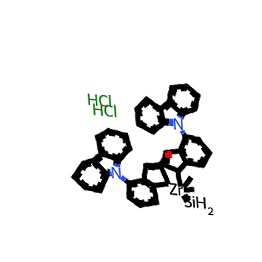 CC1=Cc2c(cccc2-n2c3ccccc3c3ccccc32)[CH]1[Zr]([CH3])([CH3])(=[SiH2])[CH]1C(C)=Cc2c1cccc2-n1c2ccccc2c2ccccc21.Cl.Cl